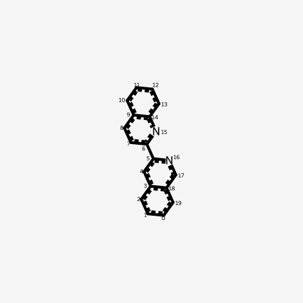 c1ccc2cc(-c3ccc4ccccc4n3)ncc2c1